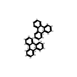 c1ccc2c(c1)c1ccccc1c1ccccc21.c1ccc2c(c1)c1ccccc1c1ccccc21